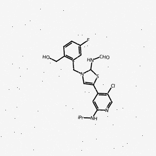 CC(C)Nc1cc(C2=CN(Cc3cc(F)ccc3CO)C(NC=O)S2)c(Cl)cn1